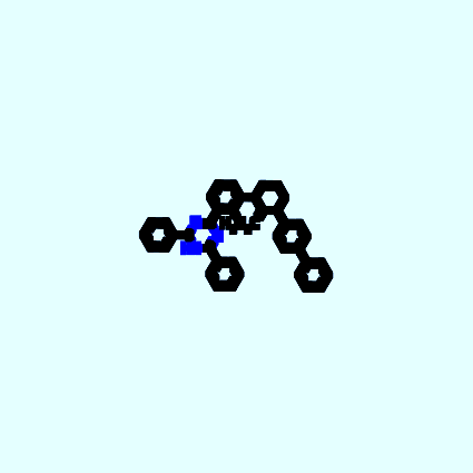 C=C1C(c2cccc(C3=NC(c4ccccc4)NC(c4ccccc4)=N3)c2C)C=CCC1c1ccc(-c2ccccc2)cc1